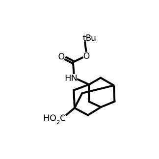 CC(C)(C)OC(=O)NC12CC3CC(C1)CC(C(=O)O)(C3)C2